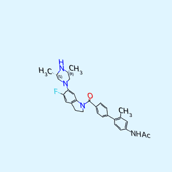 CC(=O)Nc1ccc(-c2ccc(C(=O)N3CCc4cc(F)c(N5C[C@@H](C)N[C@@H](C)C5)cc43)cc2)c(C)c1